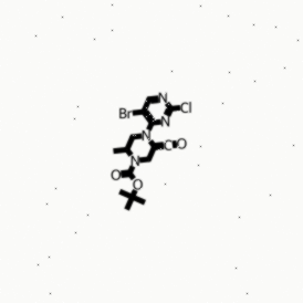 CC1CN(c2nc(Cl)ncc2Br)C(=C=O)CN1C(=O)OC(C)(C)C